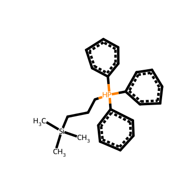 C[Si](C)(C)CCC[PH](c1ccccc1)(c1ccccc1)c1ccccc1